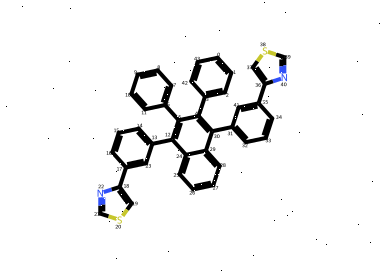 c1ccc(-c2c(-c3ccccc3)c(-c3cccc(-c4cscn4)c3)c3ccccc3c2-c2cccc(-c3cscn3)c2)cc1